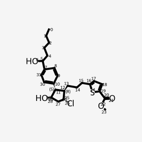 CCCCCC(O)c1ccc([C@@H]2[C@@H](CCCc3ccc(C(=O)OC)s3)[C@H](Cl)C[C@H]2O)cc1